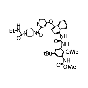 CCNC(=O)N1CCN(C(=O)c2cc(Oc3ccc(NC(=O)Nc4cc(C(C)(C)C)cc(NC(=O)OC)c4OC)c4ccccc34)ccn2)CC1